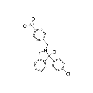 O=[N+]([O-])c1ccc(CN2Cc3ccccc3C2(Cl)c2ccc(Cl)cc2)cc1